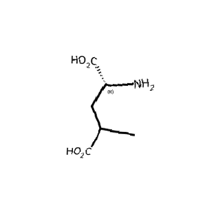 CC(C[C@@H](N)C(=O)O)C(=O)O